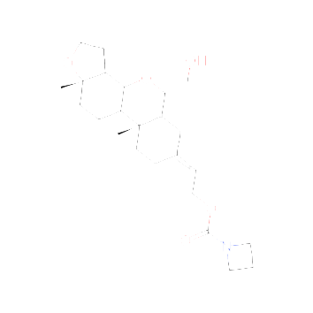 C[C@]12CCC(=CCOC(=O)N3CCC3)CC1[C@@H](CO)OC1C2CC[C@]2(C)OCCC12